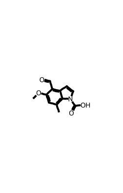 COc1cc(C)c2c(ccn2C(=O)O)c1C=O